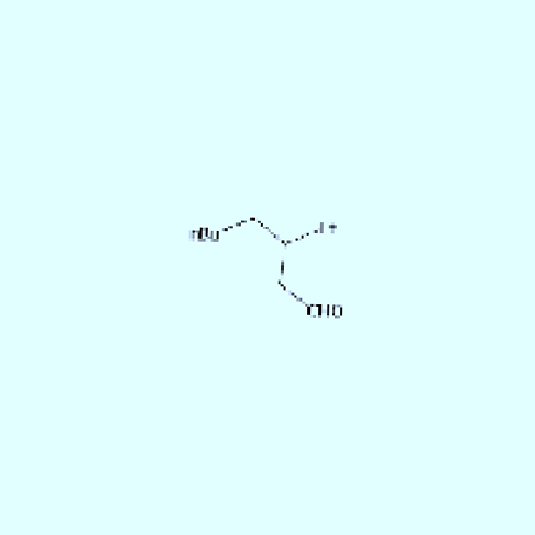 CCCCCC(CC)CC=O